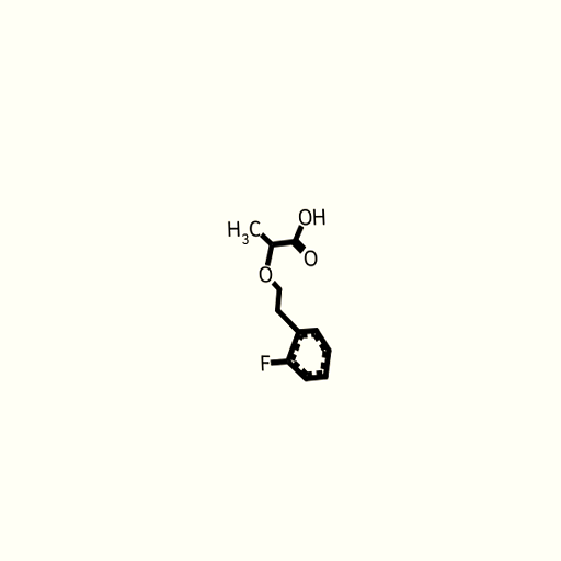 CC(OCCc1ccccc1F)C(=O)O